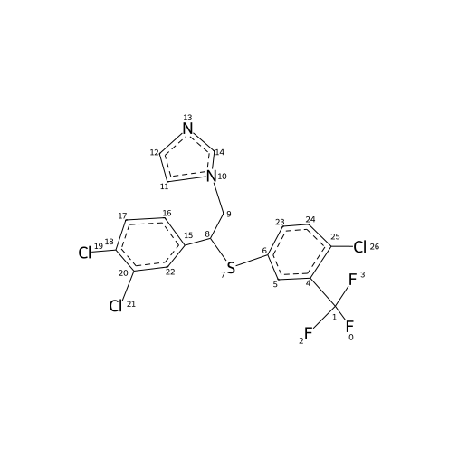 FC(F)(F)c1cc(SC(Cn2ccnc2)c2ccc(Cl)c(Cl)c2)ccc1Cl